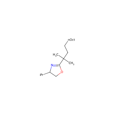 CCCCCCCCCCC(C)(C)C1=NC(C(C)C)CO1